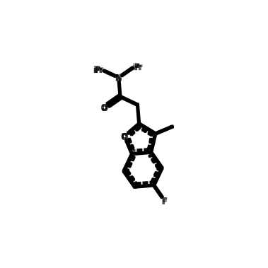 Cc1c(CC(=O)N(C(C)C)C(C)C)oc2ccc(F)cc12